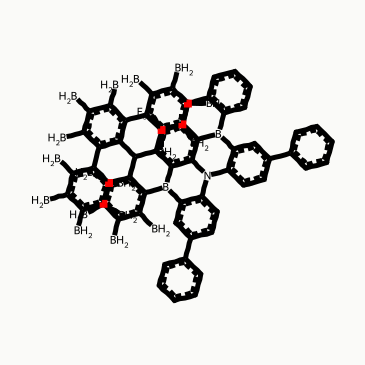 Bc1c(B)c(B)c(-c2c(B)c(B)c(B)c(-c3c(B)c(B)c(B)c(B)c3B)c2C2c3c(B)c(B)c(B)c(B)c3B3c4cc(-c5ccccc5)ccc4N4c5ccc(-c6ccccc6)cc5B5c6ccccc6Sc6c5c4c3c2c6C(F)(F)F)c(B)c1B